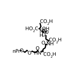 CCCOCCOCCC(=O)N[C@H](CCC(=O)N[C@@H](CCOP(=O)(O)N[C@@H](CCC(=O)O)C(=O)O)C(=O)O)C(=O)O